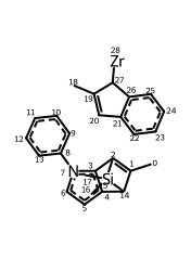 CC1=C2c3c(ccn3-c3ccccc3)C1[Si]2(C)C.CC1=Cc2ccccc2[CH]1[Zr]